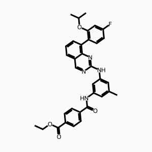 CCOC(=O)c1ccc(C(=O)Nc2cc(C)cc(Nc3ncc4cccc(-c5ccc(F)cc5OC(C)C)c4n3)c2)cc1